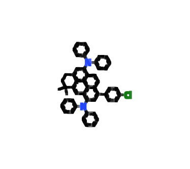 CC1(C)CCc2cc(N(c3ccccc3)c3ccccc3)c3ccc4c(-c5ccc(Cl)cc5)cc(N(c5ccccc5)c5ccccc5)c5cc1c2c3c45